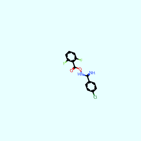 N=C(NOC(=O)c1c(F)cccc1F)c1ccc(Cl)cc1